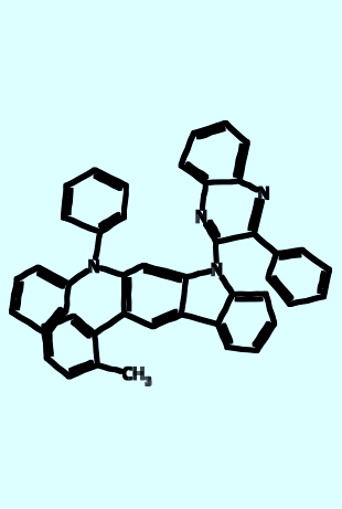 Cc1ccccc1-c1cc2c3ccccc3n(-c3nc4ccccc4nc3-c3ccccc3)c2cc1N(c1ccccc1)c1ccccc1